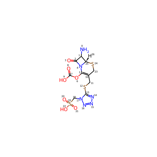 NC1C(=O)N2C(OC(=O)O)=C(CSc3nnnn3CS(=O)(=O)O)CS[C@@H]12